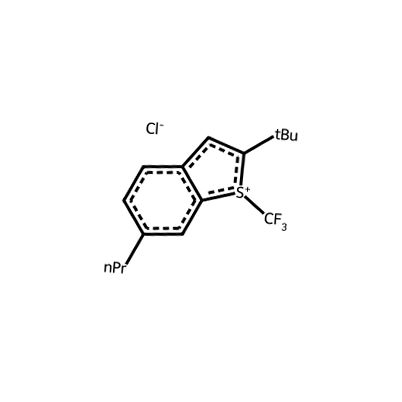 CCCc1ccc2cc(C(C)(C)C)[s+](C(F)(F)F)c2c1.[Cl-]